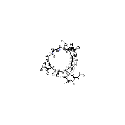 CCCC(=O)N(C)[C@@H](C)C(=O)O[C@H]1CC(=O)N(C)c2cc(cc(C)c2Cl)C/C(C)=C/C=C/[C@@H](OC)[C@@]2(O)C[C@H](OC(=O)N2)[C@@H](C)[C@@H]2O[C@@]12C